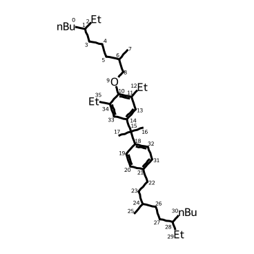 CCCCC(CC)CCCC(C)COc1c(CC)cc(C(C)(C)c2ccc(CCC(C)CCC(CC)CCCC)cc2)cc1CC